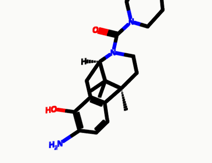 CC1(C)[C@H]2Cc3c(ccc(N)c3O)[C@]1(C)CCN2C(=O)N1CCCCC1